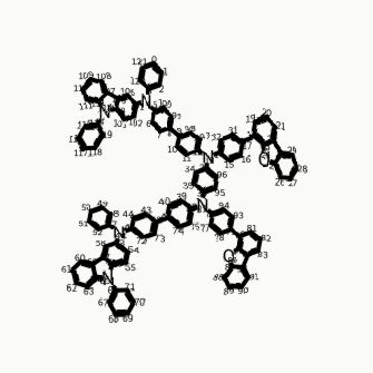 c1ccc(N(c2ccc(-c3ccc(N(c4ccc(-c5cccc6c5oc5ccccc56)cc4)c4ccc(N(c5ccc(-c6ccc(N(c7ccccc7)c7ccc8c(c7)c7ccccc7n8-c7ccccc7)cc6)cc5)c5ccc(-c6cccc7c6oc6ccccc67)cc5)cc4)cc3)cc2)c2ccc3c(c2)c2ccccc2n3-c2ccccc2)cc1